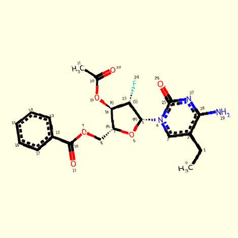 CCc1cn([C@@H]2O[C@H](COC(=O)c3ccccc3)[C@@H](OC(C)=O)[C@@H]2F)c(=O)nc1N